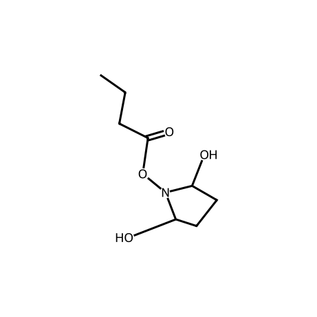 CCCC(=O)ON1C(O)CCC1O